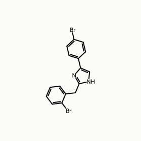 Brc1ccc(-c2c[nH]c(Cc3ccccc3Br)n2)cc1